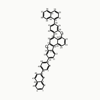 c1ccc2cc(-c3ccc(-c4ccc5c(c4)oc4cc6c7c(cccc7c45)Oc4cc(-c5cccc7ccccc57)ccc4-6)cc3)ccc2c1